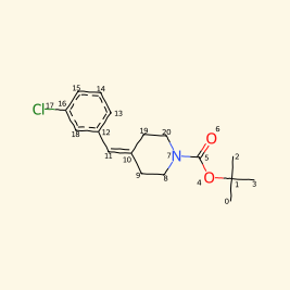 CC(C)(C)OC(=O)N1CCC(=Cc2cccc(Cl)c2)CC1